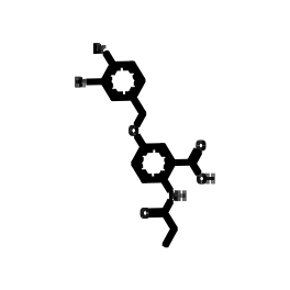 CCC(=O)Nc1ccc(OCc2ccc(Br)c(Br)c2)cc1C(=O)O